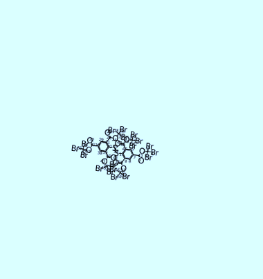 O=C(OC(Br)(Br)Br)c1cc(C(=O)OC(Br)(Br)Br)c(SSc2c(C(=O)OC(Br)(Br)Br)cc(C(=O)OC(Br)(Br)Br)cc2C(=O)OC(Br)(Br)Br)c(C(=O)OC(Br)(Br)Br)c1